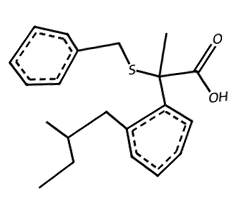 CCC(C)Cc1ccccc1C(C)(SCc1ccccc1)C(=O)O